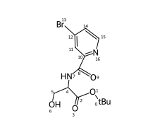 CC(C)(C)OC(=O)C(CO)NC(=O)c1cc(Br)ccn1